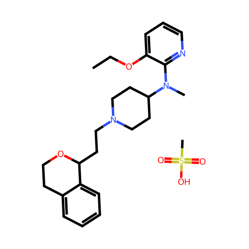 CCOc1cccnc1N(C)C1CCN(CCC2OCCc3ccccc32)CC1.CS(=O)(=O)O